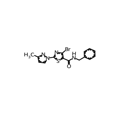 Cc1ccn(-c2nc(Br)c(C(=O)NCc3ccccc3)s2)n1